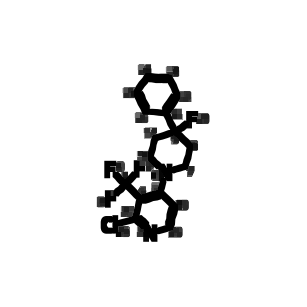 FC(F)(F)c1c(N2CCC(F)(c3ccccc3)CC2)ccnc1Cl